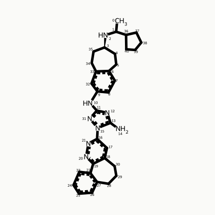 CC(N[C@H]1CCc2ccc(Nc3nc(N)n(-c4cc5c(nn4)-c4ccccc4CCC5)n3)cc2CC1)C1CCCC1